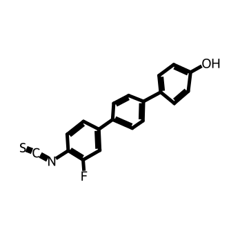 Oc1ccc(-c2ccc(-c3ccc(N=C=S)c(F)c3)cc2)cc1